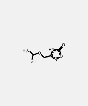 CC(S)OCc1noc(=O)[nH]1